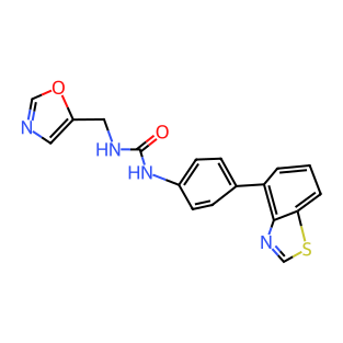 O=C(NCc1cnco1)Nc1ccc(-c2cccc3scnc23)cc1